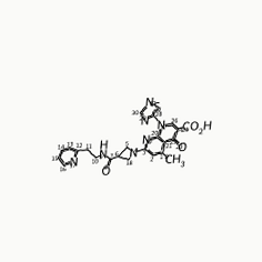 Cc1cc(N2CC(C(=O)NCCc3ccccn3)C2)nc2c1c(=O)c(C(=O)O)cn2-c1ncns1